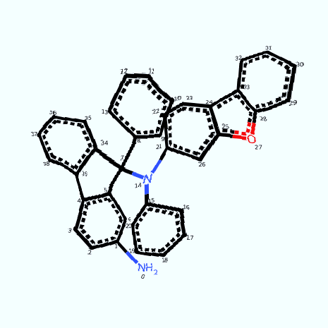 Nc1ccc2c(c1)C(c1ccccc1)(N(c1ccccc1)c1ccc3c(c1)oc1ccccc13)c1ccccc1-2